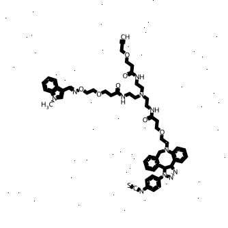 C#CCOCCC(=O)NCCN(CCNC(=O)CCOCCO/N=C/c1cn(C)c2ccccc12)CCNC(=O)CCOCCN1Cc2ccccc2C2C(N=NN2c2ccc(N=C=S)cc2)c2ccccc21